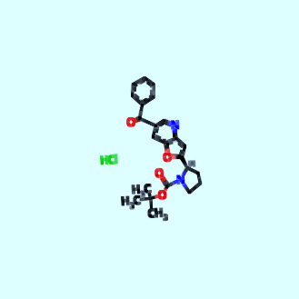 CC(C)(C)OC(=O)N1CCC[C@@H]1c1cc2ncc(C(=O)c3ccccc3)cc2o1.Cl